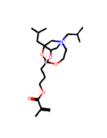 C=C(C)C(=O)OCCC[Si]12OCC[N+](CC(C)C)(CCO1)CC(CC(C)C)O2